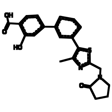 Cc1nc(CN2CCCC2=O)sc1-c1cccc(-c2ccc(C(=O)O)c(O)c2)c1